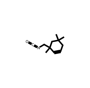 CC1(C)CC#CC(C)(CN=C=O)C1